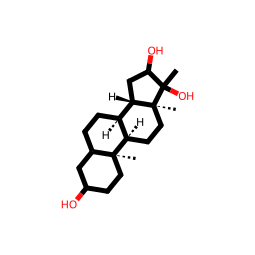 CC1(O)C(O)C[C@H]2[C@@H]3CCC4CC(O)CC[C@]4(C)[C@@H]3CC[C@@]21C